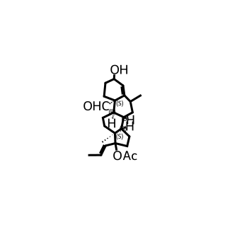 CC=CC1(OC(C)=O)CC[C@H]2[C@@H]3CC(C)C4=CC(O)CC[C@]4(C=O)[C@@H]3CC[C@@]21C